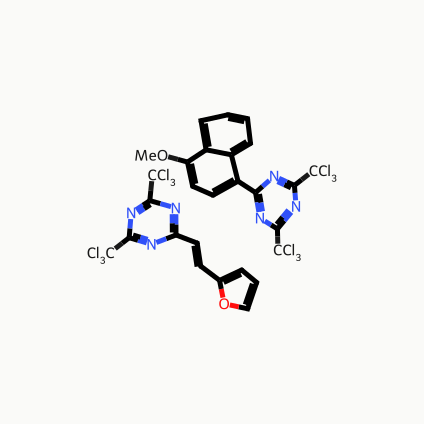 COc1ccc(-c2nc(C(Cl)(Cl)Cl)nc(C(Cl)(Cl)Cl)n2)c2ccccc12.ClC(Cl)(Cl)c1nc(C=Cc2ccco2)nc(C(Cl)(Cl)Cl)n1